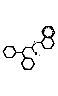 NC(CC(C1CCCCC1)C1CCCCC1)OC1CCCc2ccccc21